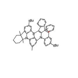 Cc1cc2c3c(c1)N1c4c(cc(C(C)(C)C)cc4C4(C)CCCCC14C)B3C1=C(N2c2ccc(C(C)(C)C)cc2-c2ccccc2)C(C)(C)c2ccccc21